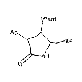 CCCCCC1C(C(C)=O)C(=O)NC1C(C)CC